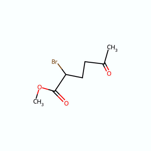 COC(=O)C(Br)CCC(C)=O